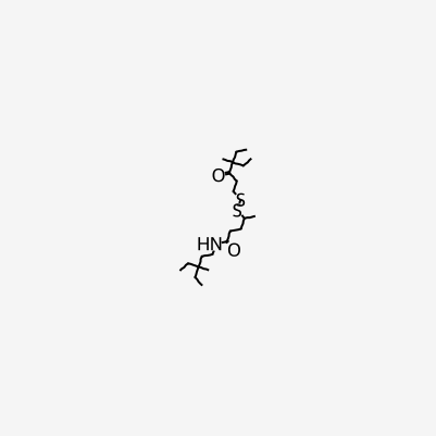 CCC(C)(CC)CCNC(=O)CCC(C)SSCCC(=O)C(C)(CC)CC